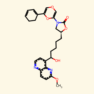 COc1ccc2nccc(C(O)CCCC[C@H]3CN(C4=COC=C(C5=CC=CCC5)O4)C(=O)O3)c2n1